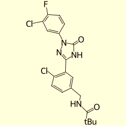 CC(C)(C)C(=O)NCc1ccc(Cl)c(-c2nn(-c3ccc(F)c(Cl)c3)c(=O)[nH]2)c1